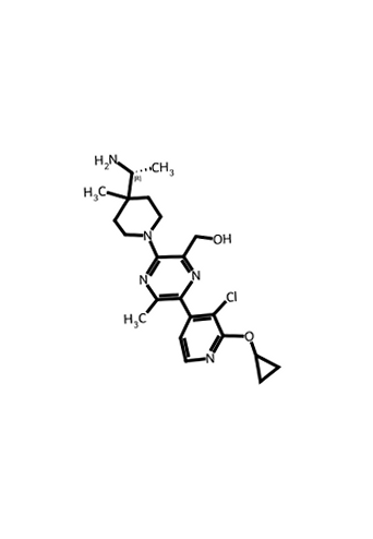 Cc1nc(N2CCC(C)([C@@H](C)N)CC2)c(CO)nc1-c1ccnc(OC2CC2)c1Cl